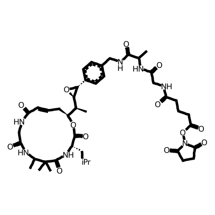 CC(C)C[C@@H]1NC(=O)C(C)(C)C(C)NC(=O)CNC(=O)/C=C/C[C@@H]([C@H](C)[C@H]2O[C@@H]2c2ccc(CNC(=O)C(C)NC(=O)CNC(=O)CCCC(=O)ON3C(=O)CCC3=O)cc2)OC1=O